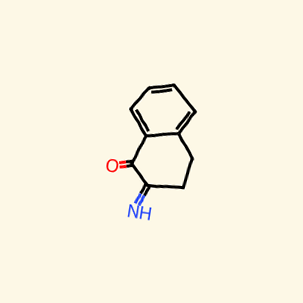 N=C1CCc2ccccc2C1=O